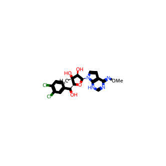 CON=c1nc[nH]c2c1ccn2[C@@H]1O[C@H](C(O)c2ccc(Cl)c(Cl)c2)[C@@](C)(O)[C@H]1O